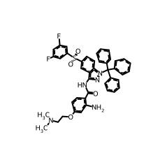 CN(C)CCOc1ccc(C(=O)Nc2nn(C(c3ccccc3)(c3ccccc3)c3ccccc3)c3ccc(S(=O)(=O)c4cc(F)cc(F)c4)cc23)c(N)c1